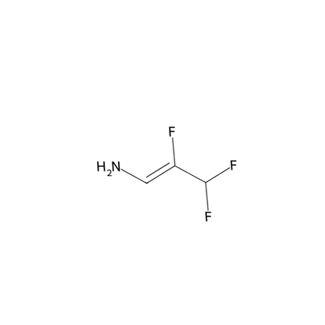 NC=C(F)C(F)F